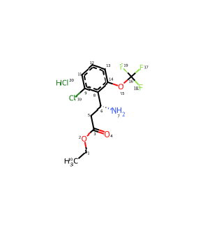 CCOC(=O)C[C@@H](N)c1c(Cl)cccc1OC(F)(F)F.Cl